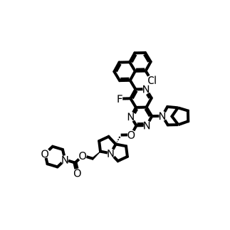 O=C(OC[C@H]1CC[C@@]2(COc3nc(N4CC5CCC(C5)C4)c4cnc(-c5cccc6cccc(Cl)c56)c(F)c4n3)CCCN12)N1CCOCC1